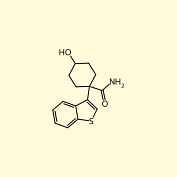 NC(=O)C1(c2csc3ccccc23)CCC(O)CC1